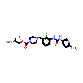 CO[C@@H](C)COC(=O)N1CCN(Cc2cccc(NC(=O)Nc3ccc(C)nc3)c2F)CC1